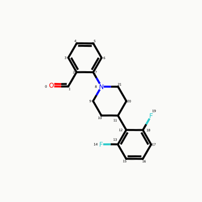 O=Cc1ccccc1N1CCC(c2c(F)cccc2F)CC1